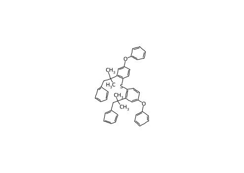 CC(C)(Cc1ccccc1)c1cc(Oc2ccccc2)ccc1Sc1ccc(Oc2ccccc2)cc1C(C)(C)Cc1ccccc1